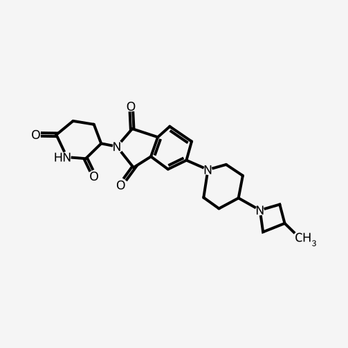 CC1CN(C2CCN(c3ccc4c(c3)C(=O)N(C3CCC(=O)NC3=O)C4=O)CC2)C1